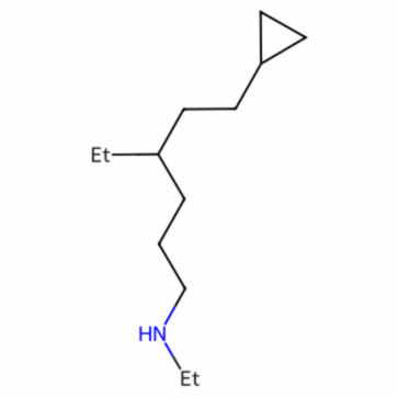 CCNCCCC(CC)CCC1CC1